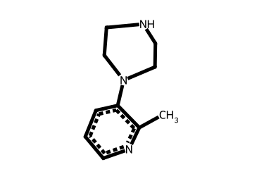 Cc1ncccc1N1CCNCC1